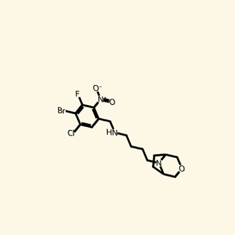 O=[N+]([O-])c1c(CNCCCCN2C3CCC2COC3)cc(Cl)c(Br)c1F